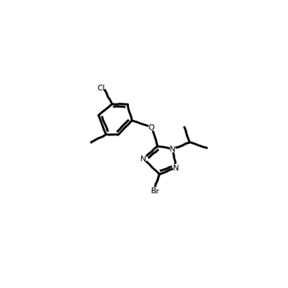 Cc1cc(Cl)cc(Oc2nc(Br)nn2C(C)C)c1